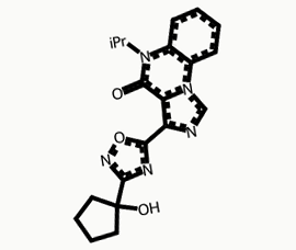 CC(C)n1c(=O)c2c(-c3nc(C4(O)CCCC4)no3)ncn2c2ccccc21